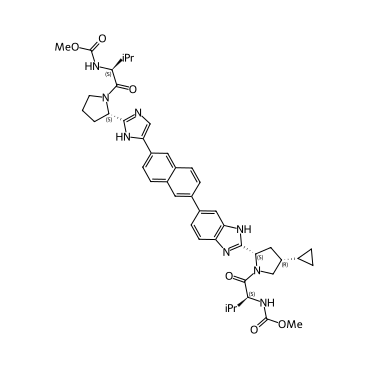 COC(=O)N[C@H](C(=O)N1CCC[C@H]1c1ncc(-c2ccc3cc(-c4ccc5nc([C@@H]6C[C@H](C7CC7)CN6C(=O)[C@@H](NC(=O)OC)C(C)C)[nH]c5c4)ccc3c2)[nH]1)C(C)C